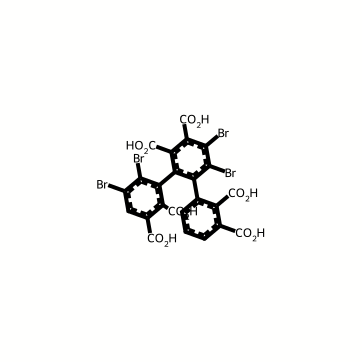 O=C(O)c1cccc(-c2c(Br)c(Br)c(C(=O)O)c(C(=O)O)c2-c2c(Br)c(Br)cc(C(=O)O)c2C(=O)O)c1C(=O)O